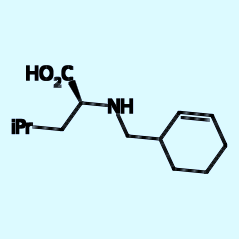 CC(C)C[C@H](NCC1C=CCCC1)C(=O)O